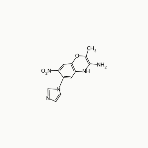 CC1=C(N)Nc2cc(-n3ccnc3)c([N+](=O)[O-])cc2O1